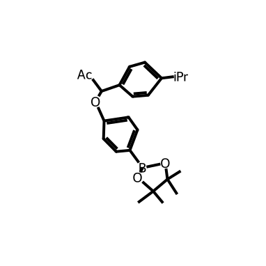 CC(=O)C(Oc1ccc(B2OC(C)(C)C(C)(C)O2)cc1)c1ccc(C(C)C)cc1